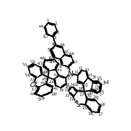 c1ccc(-c2ccc3cc(N(c4ccc5c(c4)C4(c6ccccc6Sc6ccccc64)c4ccccc4-5)c4cccc5c4-c4ccccc4C54c5ccccc5Oc5ccccc54)ccc3c2)cc1